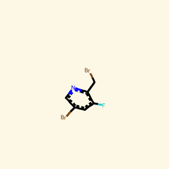 Fc1cc(Br)cnc1CBr